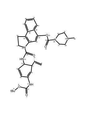 C=CC1C=C(NC(=O)OC(C)(C)C)C=CC1NC(=O)N1CCc2c1cc(OC(=O)N1CCN(C)CC1)c1ccccc21